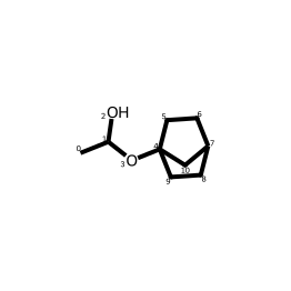 CC(O)OC12CCC(CC1)C2